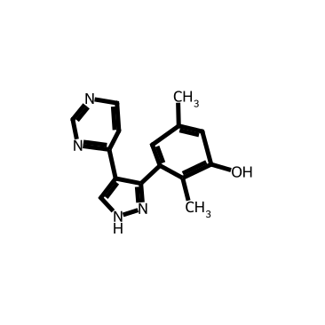 Cc1cc(O)c(C)c(-c2n[nH]cc2-c2ccncn2)c1